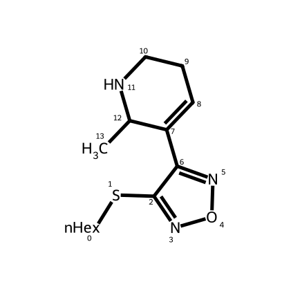 CCCCCCSc1nonc1C1=CCCNC1C